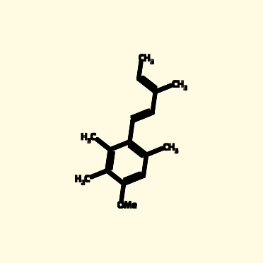 CC=C(C)C=Cc1c(C)cc(OC)c(C)c1C